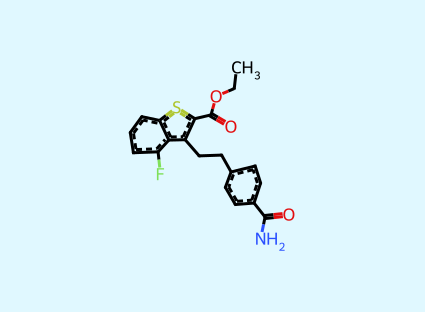 CCOC(=O)c1sc2cccc(F)c2c1CCc1ccc(C(N)=O)cc1